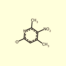 Cc1cc([O])nc(C)c1[N+](=O)[O-]